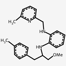 COCC(Cc1ccc(C)cc1)Nc1ccccc1NCc1cccc(C)n1